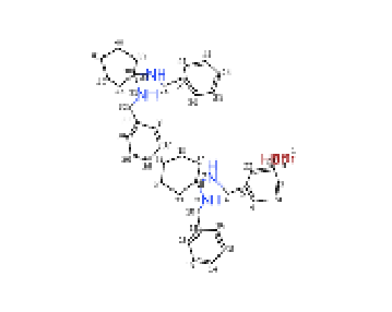 Br.Br.c1ccc(CNC2(NCc3ccccc3)CCCCC2)cc1.c1ccc(CNC2(NCc3ccccc3)CCCCC2)cc1